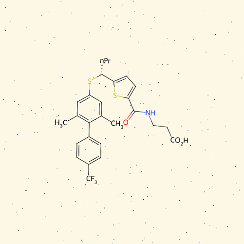 CCC[C@@H](Sc1cc(C)c(-c2ccc(C(F)(F)F)cc2)c(C)c1)c1ccc(C(=O)NCCC(=O)O)s1